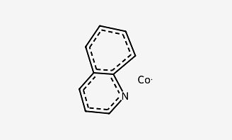 [Co].c1ccc2ncccc2c1